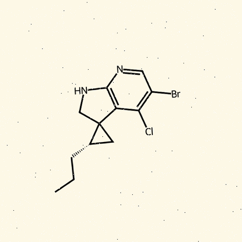 CCC[C@H]1CC12CNc1ncc(Br)c(Cl)c12